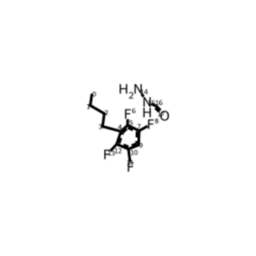 CCCCc1c(F)c(F)cc(F)c1F.NNC=O